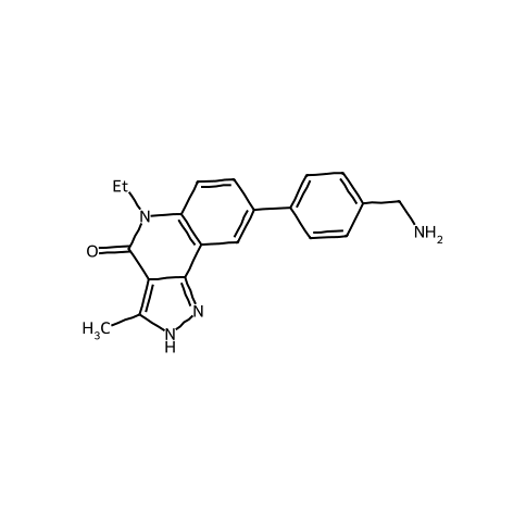 CCn1c(=O)c2c(C)[nH]nc2c2cc(-c3ccc(CN)cc3)ccc21